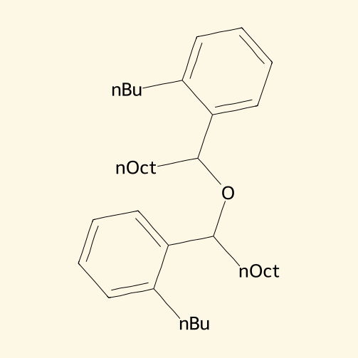 CCCCCCCCC(OC(CCCCCCCC)c1ccccc1CCCC)c1ccccc1CCCC